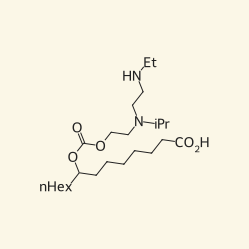 CCCCCCC(CCCCCCC(=O)O)OC(=O)OCCN(CCNCC)C(C)C